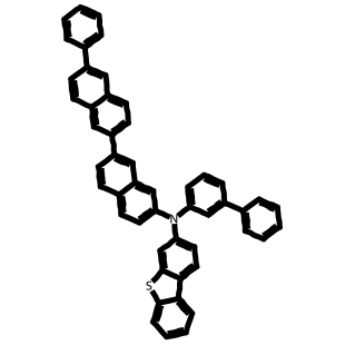 c1ccc(-c2cccc(N(c3ccc4ccc(-c5ccc6cc(-c7ccccc7)ccc6c5)cc4c3)c3ccc4c(c3)sc3ccccc34)c2)cc1